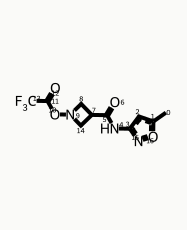 Cc1cc(NC(=O)C2CN(OC(=O)C(F)(F)F)C2)no1